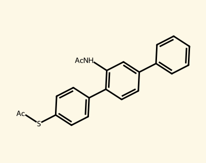 CC(=O)Nc1cc(-c2ccccc2)ccc1-c1ccc(SC(C)=O)cc1